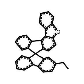 CCc1ccc2c(c1)C1(c3ccccc3-2)c2ccccc2-c2c1ccc1oc3ccccc3c21